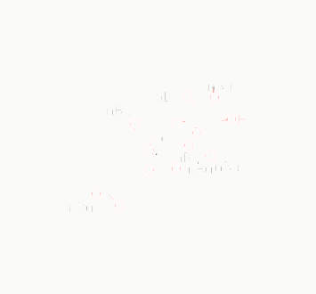 CCCCOCC1O[C@@H](O[C@@H]2C(COCCCC)O[C@@H](OCCCC(=O)OCCCC)C(OCCCC)C2OCCCC)C(OCCCC)C(OCCCC)[C@H]1O